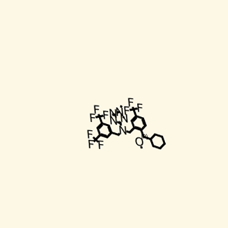 CO[C@@H](c1ccc(C(F)(F)F)cc1CN(Cc1cc(C(F)(F)F)cc(C(F)(F)F)c1)c1nnn(C)n1)C1CCCCC1